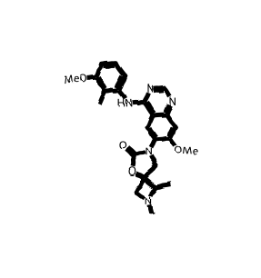 COc1cc2ncnc(Nc3cccc(OC)c3C)c2cc1N1CC2(CN(C)C2C)OC1=O